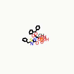 CC(OP(=O)(O)O)=C(C(=O)OC(c1ccccc1)c1ccccc1)N1C(=O)C2N=C(Cc3ccccc3)SC21